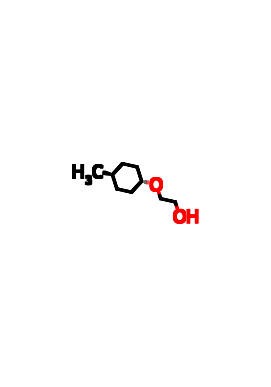 C[C@H]1CC[C@H](OCCO)CC1